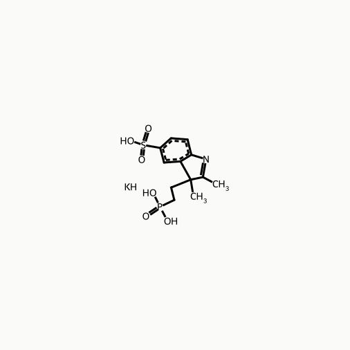 CC1=Nc2ccc(S(=O)(=O)O)cc2C1(C)CCP(=O)(O)O.[KH]